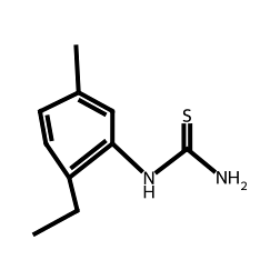 CCc1ccc(C)cc1NC(N)=S